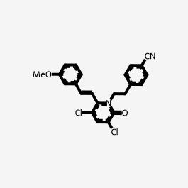 COc1cccc(/C=C/c2c(Cl)cc(Cl)c(=O)n2CCc2ccc(C#N)cc2)c1